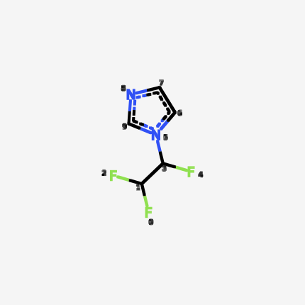 FC(F)C(F)n1ccnc1